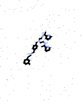 Cc1cccc(CCNCc2ccc(CN(CCNC(C)c3ccccn3)CCNC(C)c3ccccn3)cc2)c1